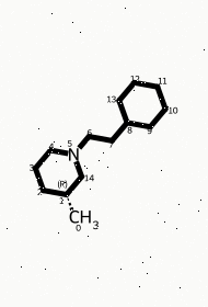 C[C@@H]1CCCN(CCC2CCCCC2)C1